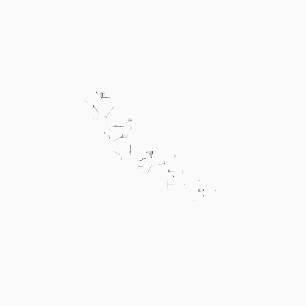 Cc1cc(-c2[nH]c3ccc(-c4nc(C(=O)NCCCN5CCCCC5)co4)cc3c2C(C)C)cc(C)n1